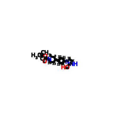 CC(C)(C)OC(=O)N1CCC(c2ccc(N3CCNC3O)cc2)CC1